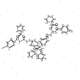 Cc1ccc(OCC(CCc2ccc(C(C)(c3ccc(OCC(COc4ccc(C)cc4)OC(=O)c4ccccc4)cc3)P3(=O)Oc4ccccc4-c4ccccc43)cc2)OC(=O)c2ccccc2)cc1